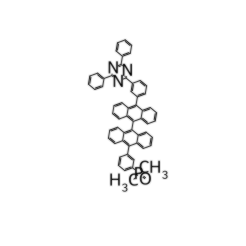 CP(C)(=O)c1cccc(-c2c3ccccc3c(-c3c4ccccc4c(-c4cccc(-c5nc(-c6ccccc6)nc(-c6ccccc6)n5)c4)c4ccccc34)c3ccccc23)c1